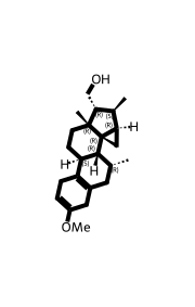 COC1=CCC2=C(C1)C[C@@H](C)[C@@H]1[C@@H]2CC[C@]2(C)[C@H](CO)[C@@H](C)[C@H]3C[C@]132